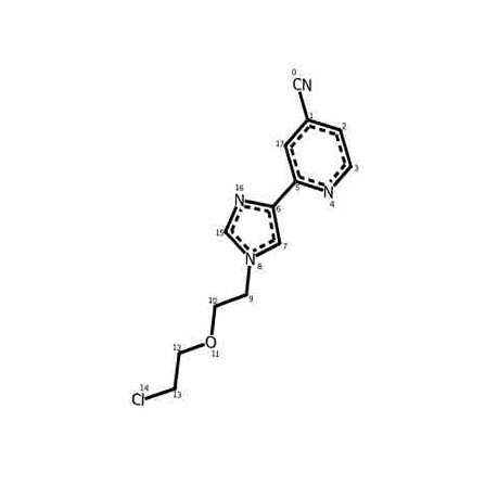 N#Cc1ccnc(-c2cn(CCOCCCl)cn2)c1